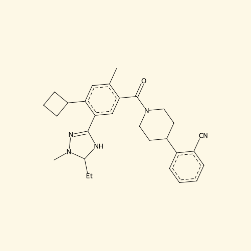 CCC1NC(c2cc(C(=O)N3CCC(c4ccccc4C#N)CC3)c(C)cc2C2CCC2)=NN1C